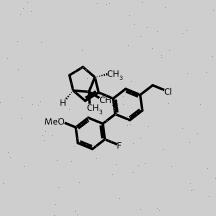 COc1ccc(F)c(-c2ccc(CCl)cc2C2=C[C@H]3CC[C@]2(C)C3(C)C)c1